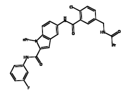 CCCn1c(C(=O)Nc2cccc(F)c2)cc2cc(NC(=O)c3cc(CNC(=O)C(C)C)ccc3Cl)ccc21